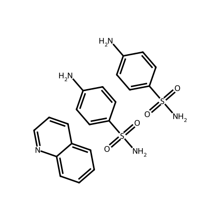 Nc1ccc(S(N)(=O)=O)cc1.Nc1ccc(S(N)(=O)=O)cc1.c1ccc2ncccc2c1